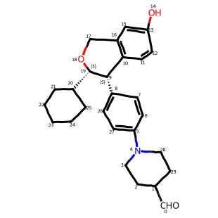 O=CC1CCN(c2ccc([C@H]3c4ccc(O)cc4CO[C@H]3C3CCCCC3)cc2)CC1